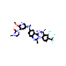 COc1ncc(N(C)c2ccc3nc(C)nc(N[C@H](C)c4cccc(C(F)F)c4F)c3c2)cc1N1CCN(C)C1=O